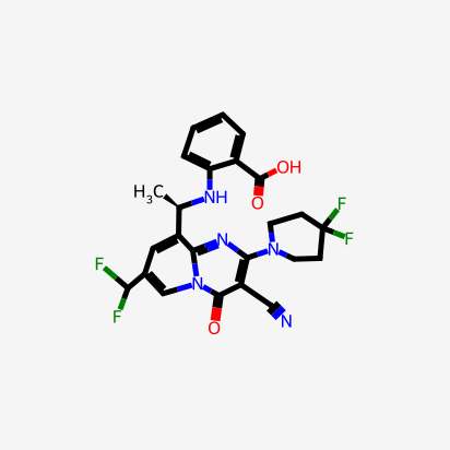 C[C@@H](Nc1ccccc1C(=O)O)c1cc(C(F)F)cn2c(=O)c(C#N)c(N3CCC(F)(F)CC3)nc12